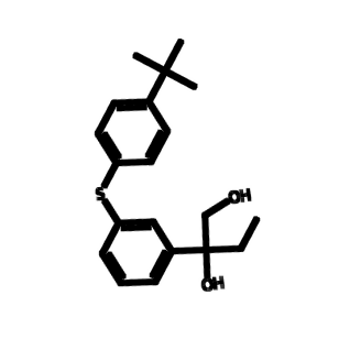 CCC(O)(CO)c1cccc(Sc2ccc(C(C)(C)C)cc2)c1